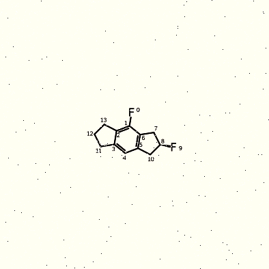 Fc1c2c(cc3c1C[C@@H](F)C3)CCC2